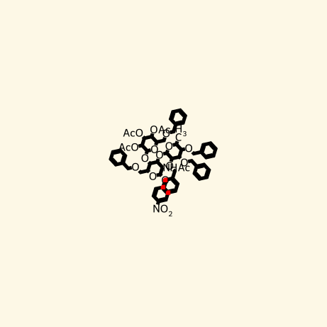 CC(=O)NC1C(Oc2ccc([N+](=O)[O-])cc2)OC(COCc2ccccc2)C(OC2OC(COCc3ccccc3)C(OC(C)=O)C(OC(C)=O)C2OC(C)=O)C1OC1OC(C)C(OCc2ccccc2)C(OCc2ccccc2)C1OCc1ccccc1